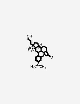 CN(C)c1ccc2c(c1)C[C@]13CCC(=O)C=C1CC[C@@H]1C3C2C[C@@]2(C)[C@H]1CC[C@@]2(O)CCCO